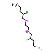 CCCC(F)CPCCPCC(F)CCC